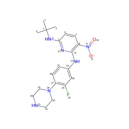 CC(C)(C)Nc1ccc([N+](=O)[O-])c(Nc2ccc(N3CCNCC3)c(F)c2)n1